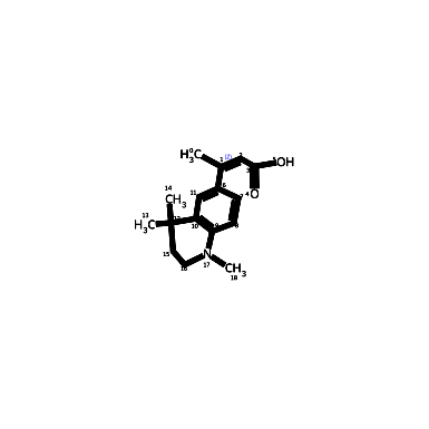 C/C(=C/C(=O)O)c1ccc2c(c1)C(C)(C)CCN2C